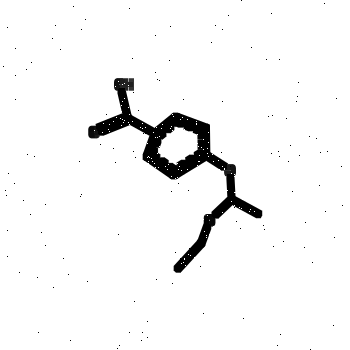 CCOC(C)Oc1ccc(C(=O)O)cc1